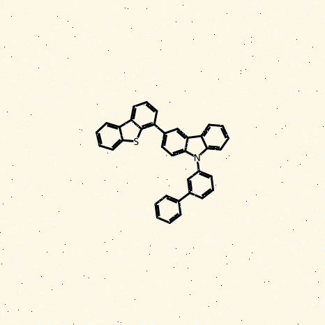 c1ccc(-c2cccc(-n3c4ccccc4c4cc(-c5cccc6c5sc5ccccc56)ccc43)c2)cc1